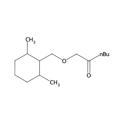 CCCCC(=O)COCC1C(C)CCCC1C